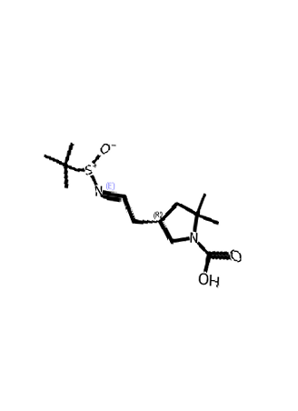 CC1(C)C[C@H](C/C=N/[S+]([O-])C(C)(C)C)CN1C(=O)O